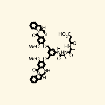 COc1cc2c(cc1OCc1cc(COc3cc4c(cc3OC)C(=O)N3c5ccccc5C[C@H]3CN4)cc(NC(=O)[C@H](C)NC(=O)[C@H](C)NC(=O)CCC(=O)O)c1)N=C[C@@H]1Cc3ccccc3N1C2=O